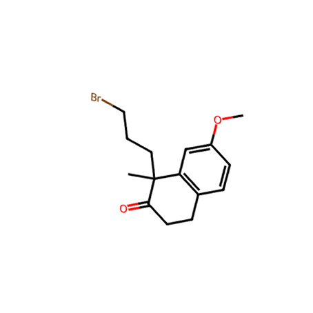 COc1ccc2c(c1)C(C)(CCCBr)C(=O)CC2